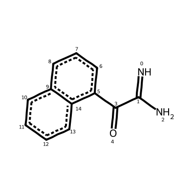 N=C(N)C(=O)c1cccc2ccccc12